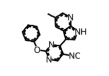 [C-]#[N+]c1cnc(Oc2ccccc2)nc1-c1c[nH]c2ncc(C)cc12